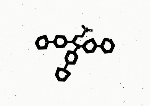 CN(C)C/C=C(\B(c1ccc(-c2ccccc2)cc1)c1ccc(-c2ccccc2)cc1)c1ccc(-c2ccccc2)cc1